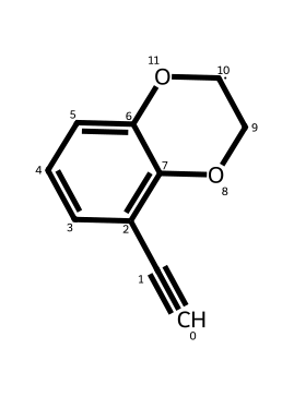 C#Cc1cccc2c1OC[CH]O2